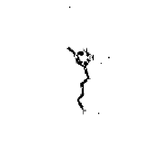 Cn1cc(CCCCF)nn1